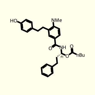 CCCCC(=O)O[C@H](CCc1ccccc1)NC(=O)c1ccc(NC)c(CCc2ccc(O)cc2)c1